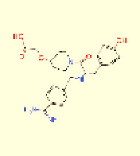 N=C(N)c1ccc(CNC(Cc2ccc(O)cc2)C(=O)N2CCC(OCC(=O)O)CC2)cc1